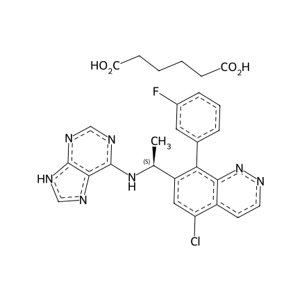 C[C@H](Nc1ncnc2[nH]cnc12)c1cc(Cl)c2ccnnc2c1-c1cccc(F)c1.O=C(O)CCCCC(=O)O